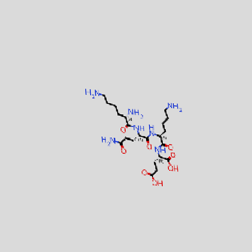 NCCCC[C@H](NC(=O)[C@H](CCC(N)=O)NC(=O)[C@@H](N)CCCCN)C(=O)N[C@@H](CCC(=O)O)C(=O)O